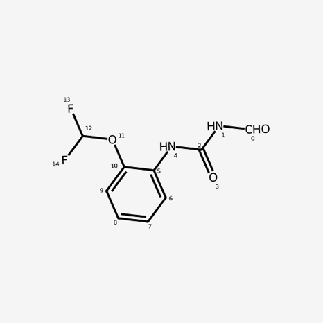 O=CNC(=O)Nc1ccccc1OC(F)F